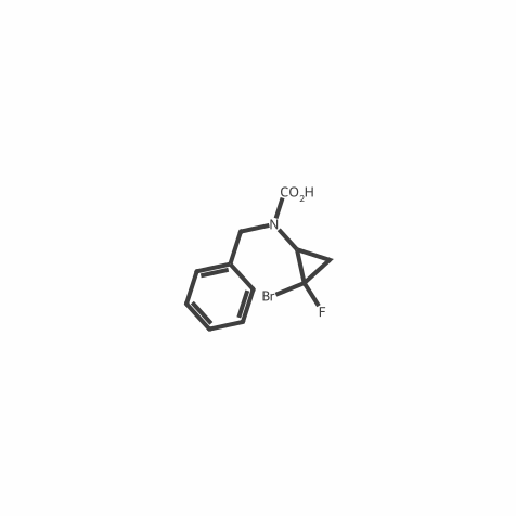 O=C(O)N(Cc1ccccc1)C1CC1(F)Br